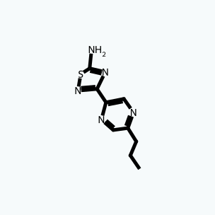 CCCc1cnc(-c2nsc(N)n2)cn1